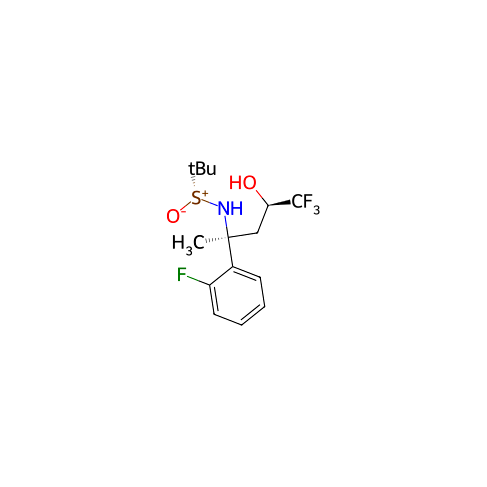 CC(C)(C)[S@@+]([O-])N[C@@](C)(C[C@@H](O)C(F)(F)F)c1ccccc1F